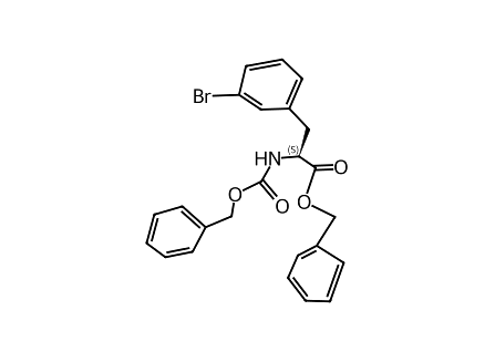 O=C(N[C@@H](Cc1cccc(Br)c1)C(=O)OCc1ccccc1)OCc1ccccc1